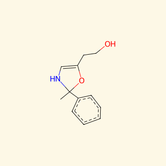 CC1(c2ccccc2)NC=C(CCO)O1